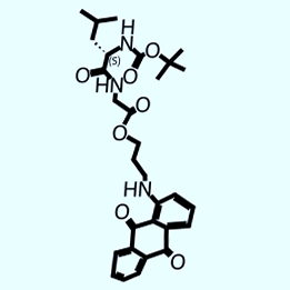 CC(C)C[C@H](NC(=O)OC(C)(C)C)C(=O)NCC(=O)OCCCNc1cccc2c1C(=O)c1ccccc1C2=O